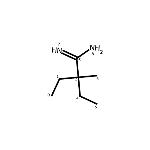 CCC(C)(CC)C(=N)N